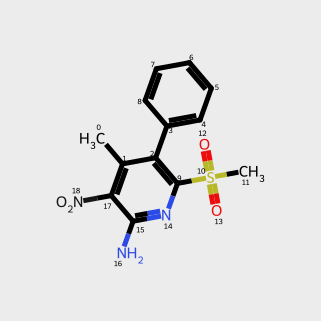 Cc1c(-c2ccccc2)c(S(C)(=O)=O)nc(N)c1[N+](=O)[O-]